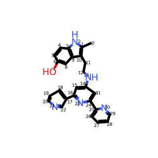 Cc1[nH]c2ccc(O)cc2c1CCNc1cc(-c2cccnc2)nc(-c2ccccn2)c1